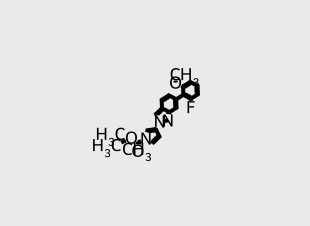 COc1cccc(F)c1-c1ccc2cn(-c3ccn(C(=O)OC(C)(C)C)c3)nc2c1